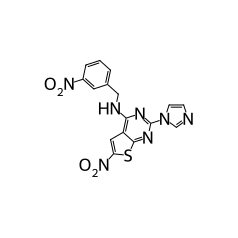 O=[N+]([O-])c1cccc(CNc2nc(-n3ccnc3)nc3sc([N+](=O)[O-])cc23)c1